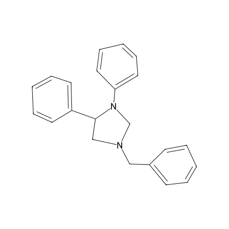 c1ccc(CN2CC(c3ccccc3)N(c3ccccc3)C2)cc1